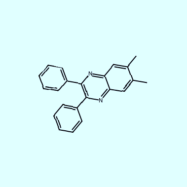 Cc1cc2nc(-c3ccccc3)c(-c3ccccc3)nc2cc1C